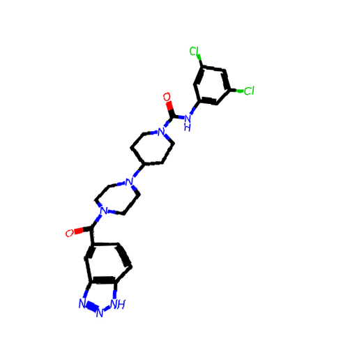 O=C(Nc1cc(Cl)cc(Cl)c1)N1CCC(N2CCN(C(=O)c3ccc4[nH]nnc4c3)CC2)CC1